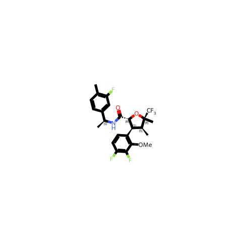 COc1c([C@H]2[C@H](C(=O)N[C@@H](C)c3ccc(C)c(F)c3)O[C@@](C)(C(F)(F)F)[C@H]2C)ccc(F)c1F